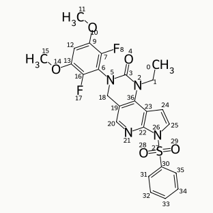 CCN1C(=O)N(c2c(F)c(OC)cc(OC)c2F)Cc2cnc3c(ccn3S(=O)(=O)c3ccccc3)c21